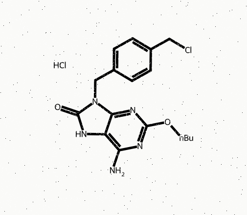 CCCCOc1nc(N)c2[nH]c(=O)n(Cc3ccc(CCl)cc3)c2n1.Cl